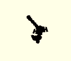 CCCCCCCCCCCCCCCC(=O)NC(CO)CCCCC(=O)N1C[C@H](OC(C)C)C[C@H]1COC(C)C